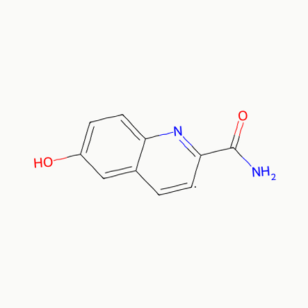 NC(=O)c1[c]cc2cc(O)ccc2n1